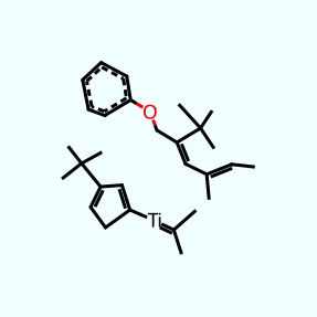 CC=C(C)C=C(COc1ccccc1)C(C)(C)C.C[C](C)=[Ti][C]1=CC(C(C)(C)C)=CC1